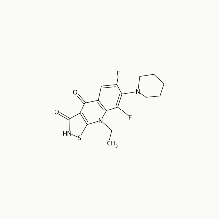 CCn1c2s[nH]c(=O)c2c(=O)c2cc(F)c(N3CCCCC3)c(F)c21